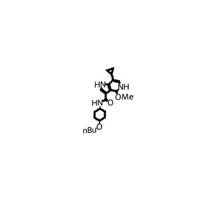 CCCCO[C@H]1CC[C@H](NC(=O)c2c[nH]c3c2C(OC)NC=C3C2CC2)CC1